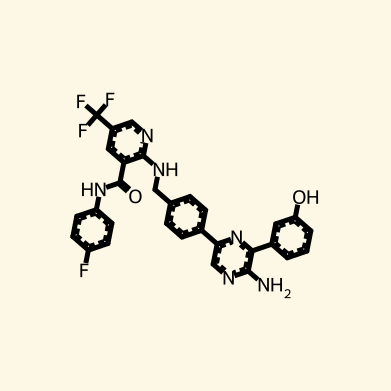 Nc1ncc(-c2ccc(CNc3ncc(C(F)(F)F)cc3C(=O)Nc3ccc(F)cc3)cc2)nc1-c1cccc(O)c1